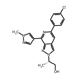 C[C@@H](CO)n1cc2cc(-c3ccc(Cl)cc3)nc(-c3cnn(C)c3)c2n1